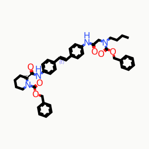 CCCCN(CC(=O)Nc1ccc(/C=C/c2ccc(NC(=O)[C@@H]3CCCCN3C(=O)OCc3ccccc3)cc2)cc1)C(=O)OCc1ccccc1